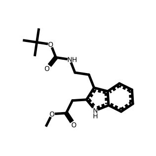 COC(=O)Cc1[nH]c2ccccc2c1CCNC(=O)OC(C)(C)C